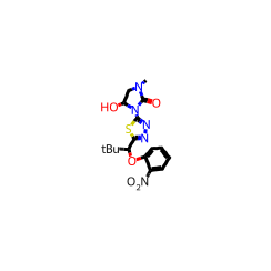 CN1CC(O)N(c2nnc(C(Oc3ccccc3[N+](=O)[O-])C(C)(C)C)s2)C1=O